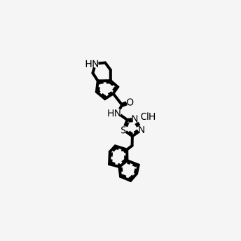 Cl.O=C(Nc1nnc(Cc2cccc3ccccc23)s1)c1ccc2c(c1)CCNC2